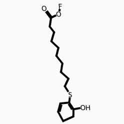 O=C(CCCCCCCCCSC1=C(O)CCC=C1)OF